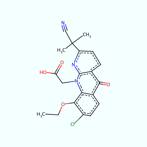 CCOc1c(Cl)ccc2c(=O)c3ccc(C(C)(C)C#N)nc3n(CC(=O)O)c12